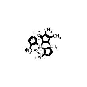 CCCC1=[C]([Zr]([C]2=C(CCC)C=CC2)([C]2=C(C)C(C)=C(C)C2(C)C)[SiH](C)C)CC=C1